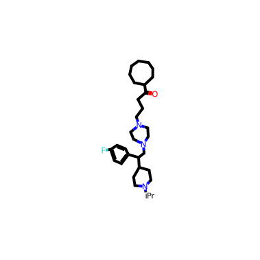 CC(C)N1CCC(C(CN2CCN(CCCC(=O)C3CCCCCCC3)CC2)c2ccc(F)cc2)CC1